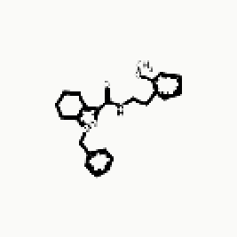 COc1ccccc1CCNC(=O)c1nn(Cc2ccccc2)c2c1CCCC2